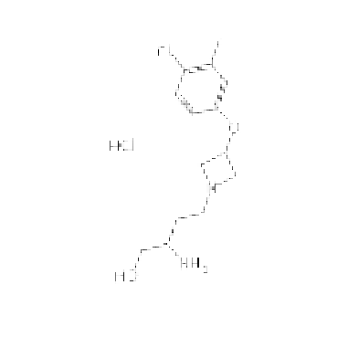 Cc1cc(OC2CN(CCC(N)CO)C2)ccc1Cl.Cl